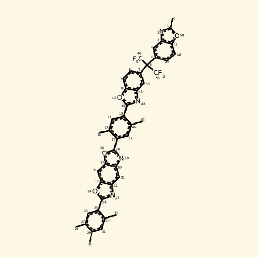 Cc1nc2cc(C(c3ccc4oc(-c5cc(C)c(-c6nc7cc8nc(-c9cc(C)c(C)cc9C)oc8cc7o6)cc5C)nc4c3)(C(F)(F)F)C(F)(F)F)ccc2o1